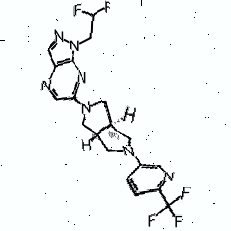 FC(F)Cn1ncc2ncc(N3C[C@H]4CN(c5ccc(C(F)(F)F)nc5)C[C@@H]4C3)nc21